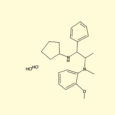 COc1ccccc1N(C)C(C)C(NC1CCCC1)c1ccccc1.Cl.Cl